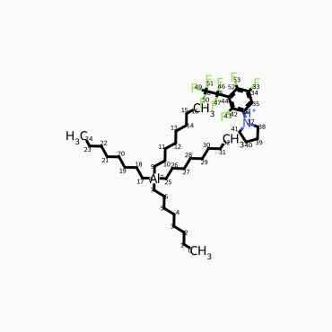 CCCCCCC[CH2][Al-]([CH2]CCCCCCC)([CH2]CCCCCCC)[CH2]CCCCCCC.Fc1cc([NH+]2CCCC2)c(F)c(C(F)(F)C(F)(F)F)c1F